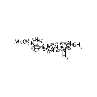 COCCn1cnc2ccc(Sc3cnc(N4CCC5(CC4)Cc4nc(C)sc4[C@@H]5N)cn3)c(Cl)c2c1=O